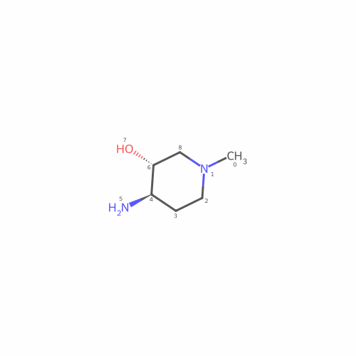 CN1CC[C@@H](N)[C@H](O)C1